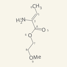 C/C=C(\N)C(=O)OCCOC